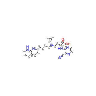 N#Cc1nccnc1N[C@@H](CCN(CCCCc1ccc2c(n1)NCCC2)C1CC1)C(=O)O